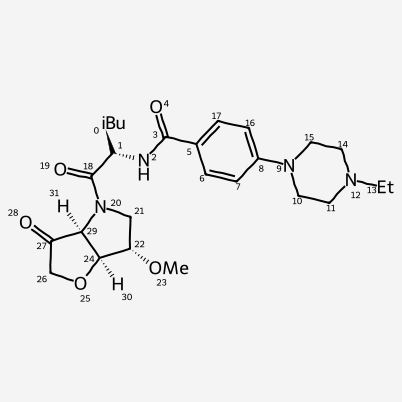 CC[C@H](C)[C@H](NC(=O)c1ccc(N2CCN(CC)CC2)cc1)C(=O)N1C[C@H](OC)[C@H]2OCC(=O)[C@H]21